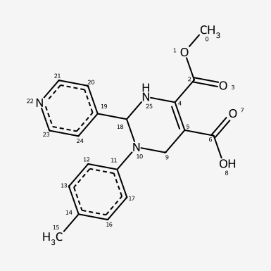 COC(=O)C1=C(C(=O)O)CN(c2ccc(C)cc2)C(c2ccncc2)N1